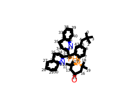 CC(C)(C)Cc1ccc(P2C(C)(C)CC(=O)CC2(C)C)c(C(P)(c2ccc3ccccc3n2)c2ccc3ccccc3n2)c1